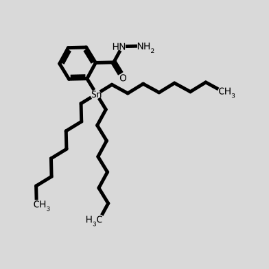 CCCCCCC[CH2][Sn]([CH2]CCCCCCC)([CH2]CCCCCCC)[c]1ccccc1C(=O)NN